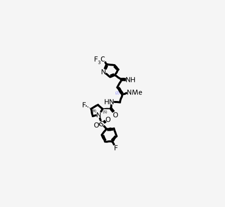 CN/C(=C\C(=N)c1ccc(C(F)(F)F)nc1)CNC(=O)[C@@H]1C[C@@H](F)CN1S(=O)(=O)c1ccc(F)cc1